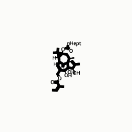 C/C=C(/C)C(=O)OCC1=C[C@@H]2C(=O)[C@]3(C=C(C)[C@H](O)[C@@]3(O)[C@@H]1O)[C@H](C)C[C@]1(OC(=O)CCCCCCC)[C@H]2C1(C)C